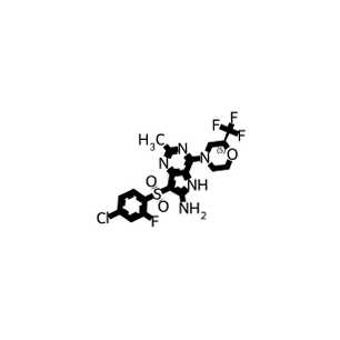 Cc1nc(N2CCO[C@H](C(F)(F)F)C2)c2[nH]c(N)c(S(=O)(=O)c3ccc(Cl)cc3F)c2n1